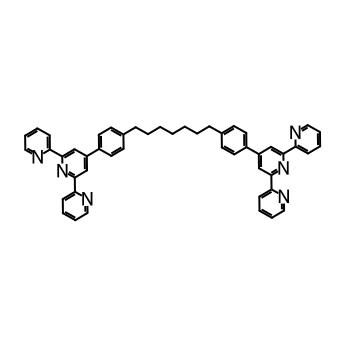 c1ccc(-c2cc(-c3ccc(CCCCCCCc4ccc(-c5cc(-c6ccccn6)nc(-c6ccccn6)c5)cc4)cc3)cc(-c3ccccn3)n2)nc1